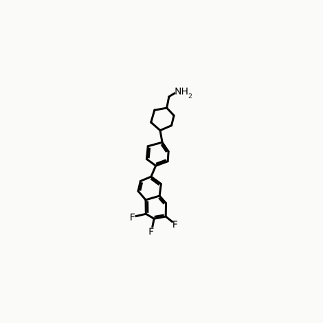 NCC1CCC(c2ccc(-c3ccc4c(F)c(F)c(F)cc4c3)cc2)CC1